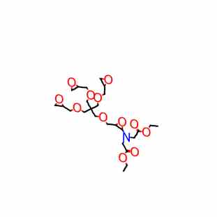 CCOC(=O)CN(CC(=O)OCC)C1OC1COCC(COCC1CO1)(COCC1CO1)COCC1CO1